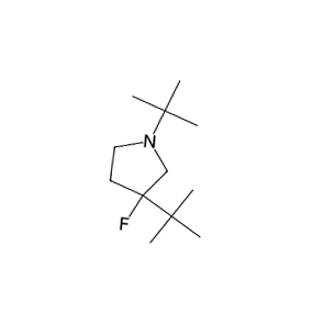 CC(C)(C)N1CCC(F)(C(C)(C)C)C1